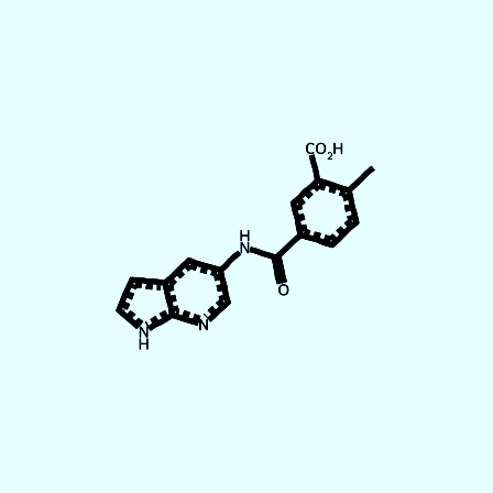 Cc1ccc(C(=O)Nc2cnc3[nH]ccc3c2)cc1C(=O)O